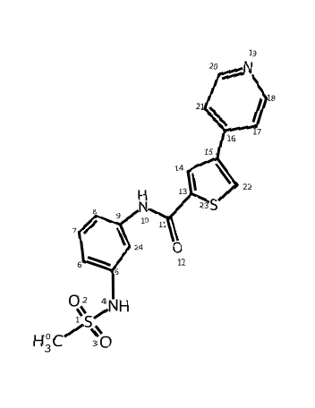 CS(=O)(=O)Nc1cccc(NC(=O)c2cc(-c3ccncc3)cs2)c1